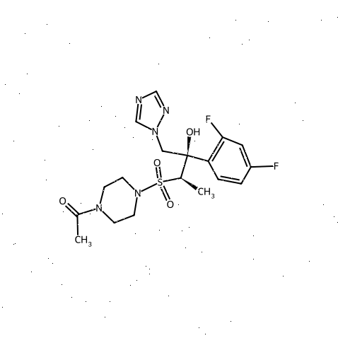 CC(=O)N1CCN(S(=O)(=O)[C@H](C)[C@](O)(Cn2cncn2)c2ccc(F)cc2F)CC1